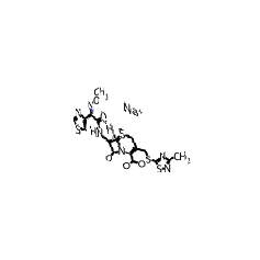 CO/N=C(\C(=O)NC1C(=O)N2C(C(=O)[O-])=C(CSc3nc(C)ns3)CS[C@@H]12)c1cscn1.[Na+]